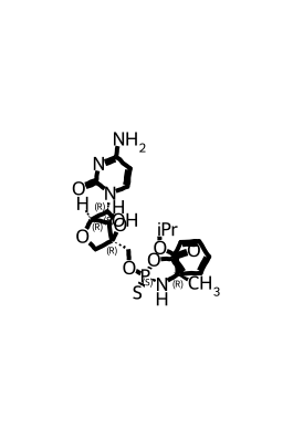 CC(C)OC(=O)[C@@H](C)N[P@](=S)(OC[C@@]12CO[C@@H]([C@H](n3ccc(N)nc3=O)O1)[C@@H]2O)Oc1ccccc1